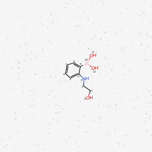 OCCNc1ccccc1B(O)O